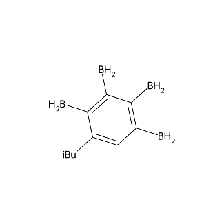 Bc1cc(C(C)CC)c(B)c(B)c1B